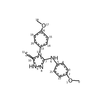 COc1ccc(Nc2n[nH]c(=S)n2-c2ccc(OC)cc2)cc1